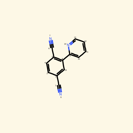 N#Cc1ccc(C#N)c(-c2cc[c]cn2)c1